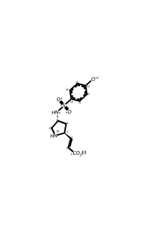 CCOC(=O)/C=C/[C@@H]1C[C@@H](NS(=O)(=O)c2ccc(Cl)cc2)CN1